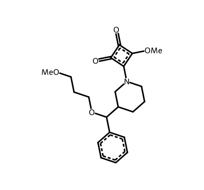 COCCCOC(c1ccccc1)C1CCCN(c2c(OC)c(=O)c2=O)C1